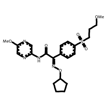 COCCCS(=O)(=O)c1ccc(/C(=N\OC2CCCC2)C(=O)Nc2cnc(OC)cn2)cc1